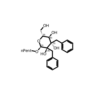 CCCCCO[C@H]1O[C@H](CO)[C@@H](O)[C@@](O)(Cc2ccccc2)[C@]1(O)Cc1ccccc1